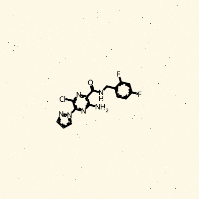 Nc1nc(-n2cccn2)c(Cl)nc1C(=O)NCc1ccc(F)cc1F